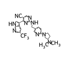 CN(C)[C@@H]1CCN(c2ccc(CNc3ncc(C#N)c(-c4c[nH]c5ncc(C(F)(F)F)cc45)n3)cn2)C1